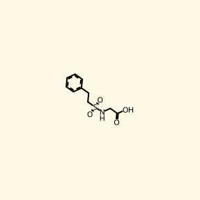 O=C(O)CNS(=O)(=O)CCc1ccccc1